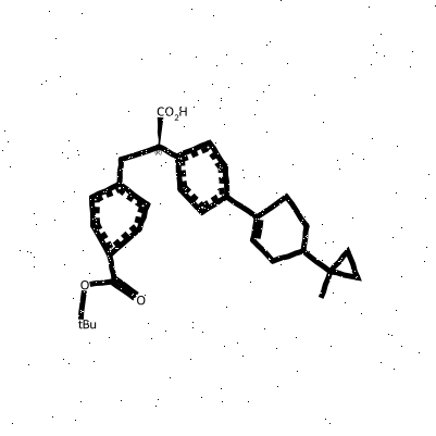 CC(C)(C)OC(=O)c1ccc(C[C@@H](C(=O)O)c2ccc(C3=CCC(C4(C)CC4)CC3)cc2)cc1